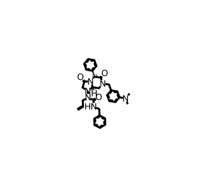 C=CCN(C(=O)NCc1ccccc1)N1CC(=O)N2[C@@H](c3ccccc3)C(=O)N(Cc3cccc(N(C)C)c3)C[C@@H]21